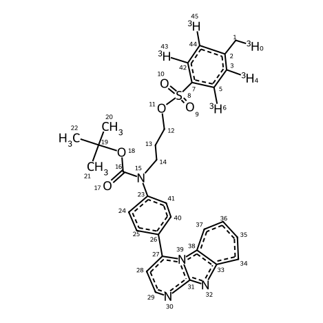 [3H]Cc1c([3H])c([3H])c(S(=O)(=O)OCCCN(C(=O)OC(C)(C)C)c2ccc(-c3ccnc4nc5ccccc5n34)cc2)c([3H])c1[3H]